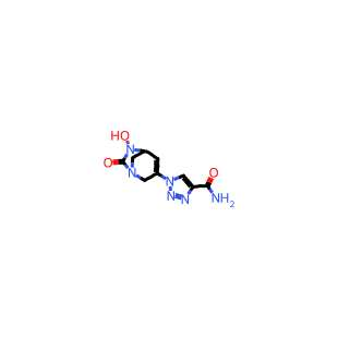 NC(=O)c1cn(C2=CC3CN(C2)C(=O)N3O)nn1